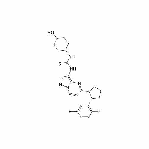 OC1CCC(NC(=S)Nc2cnn3ccc(N4CCC[C@@H]4c4cc(F)ccc4F)nc23)CC1